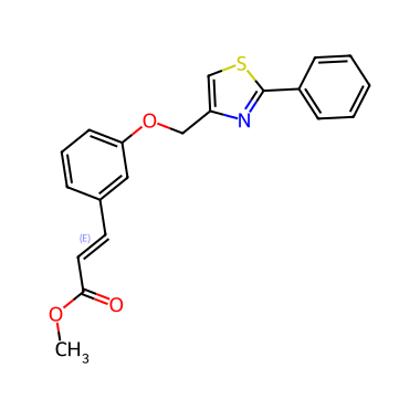 COC(=O)/C=C/c1cccc(OCc2csc(-c3ccccc3)n2)c1